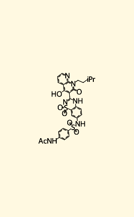 CC(=O)Nc1ccc(S(=O)(=O)Nc2ccc3c(c2)S(=O)(=O)N=C(c2c(O)c4cccnc4n(CCC(C)C)c2=O)N3)cc1